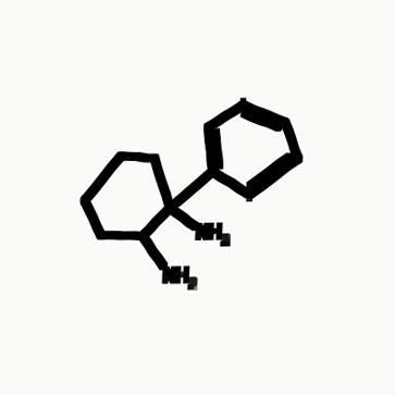 NC1CCCCC1(N)c1[c]cc[c]c1